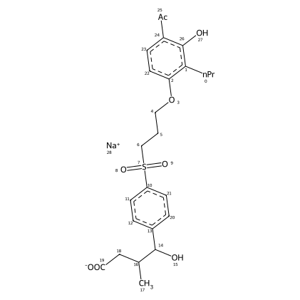 CCCc1c(OCCCS(=O)(=O)c2ccc(C(O)C(C)CC(=O)[O-])cc2)ccc(C(C)=O)c1O.[Na+]